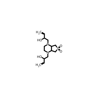 C=CC(O)CN1CCN(CC(O)C=C)C2CS(=O)(=O)CC21